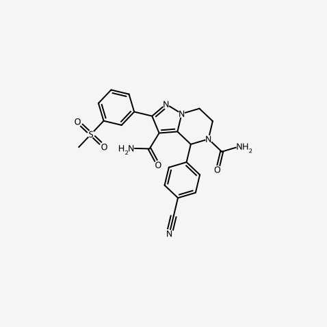 CS(=O)(=O)c1cccc(-c2nn3c(c2C(N)=O)C(c2ccc(C#N)cc2)N(C(N)=O)CC3)c1